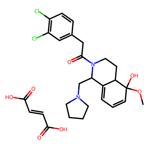 COC1(O)C=CC=C2C(CN3CCCC3)N(C(=O)Cc3ccc(Cl)c(Cl)c3)CCC21.O=C(O)C=CC(=O)O